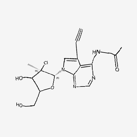 C#Cc1cn([C@@H]2OC(CO)C(O)[C@@]2(C)Cl)c2ncnc(NC(C)=O)c12